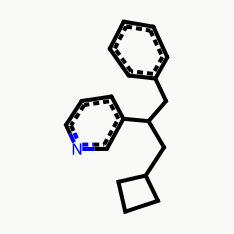 c1ccc(CC(CC2CCC2)c2cccnc2)cc1